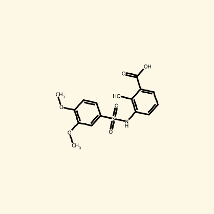 COc1ccc(S(=O)(=O)Nc2cccc(C(=O)O)c2O)cc1OC